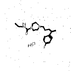 C=C(CCCN1CCN(C(=O)NCC)CC1)c1ccc(F)cc1.Cl